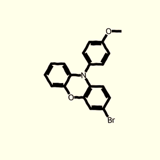 COc1ccc(N2c3ccccc3Oc3cc(Br)ccc32)cc1